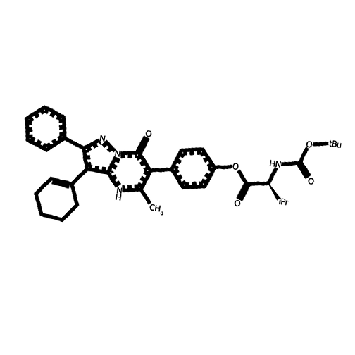 Cc1[nH]c2c(C3=CCCCC3)c(-c3ccccc3)nn2c(=O)c1-c1ccc(OC(=O)[C@@H](NC(=O)OC(C)(C)C)C(C)C)cc1